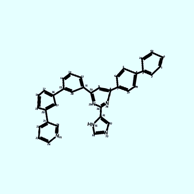 c1ccc(-c2ccc(-c3cc(-c4cccc(-c5cccc(-c6cccnc6)c5)c4)nc(-c4cnc[nH]4)n3)cc2)cc1